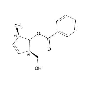 C[C@@H]1C=C[C@H](CO)C1OC(=O)c1ccccc1